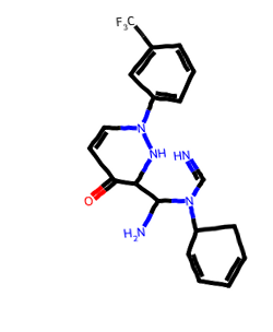 N=CN(C1C=CC=CC1)C(N)C1NN(c2cccc(C(F)(F)F)c2)C=CC1=O